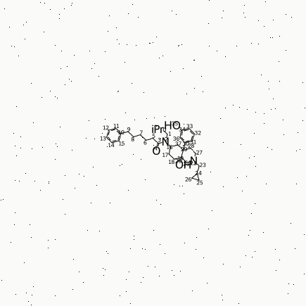 CC(C)CN(C(=O)CCCCCc1ccccc1)C1CCC2(O)CN(CC3CC3)CCC2(c2cccc(O)c2)C1